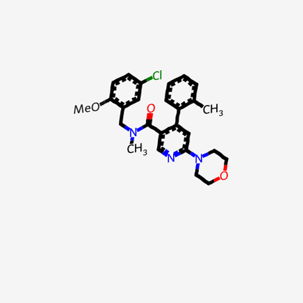 COc1ccc(Cl)cc1CN(C)C(=O)c1cnc(N2CCOCC2)cc1-c1ccccc1C